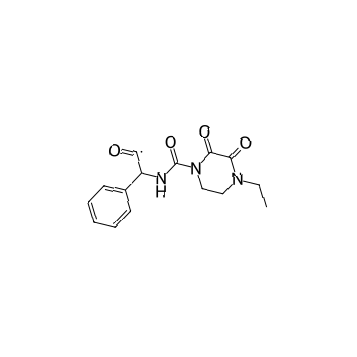 CCN1CCN(C(=O)NC([C]=O)c2ccccc2)C(=O)C1=O